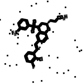 O=C(O)CC[C@H]1CN(S(=O)(=O)c2cccc(C(F)(F)F)c2)c2cc(/C=C/c3cccc(F)c3Cl)ccc2O1